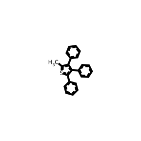 Cc1sc(-c2ccccc2)c(-c2ccccc2)c1-c1ccccc1